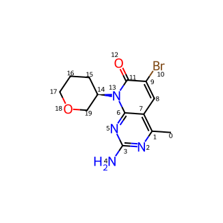 Cc1nc(N)nc2c1cc(Br)c(=O)n2[C@@H]1CCCOC1